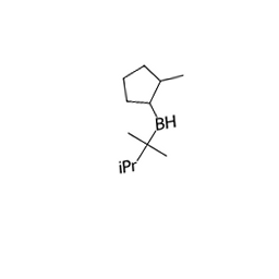 CC1CCCC1BC(C)(C)C(C)C